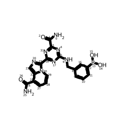 NC(=O)c1nc(NCc2cccc(B(O)O)c2)nc(-c2ncc3c(C(N)=O)cccn23)n1